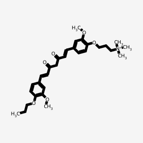 CCCOc1ccc(/C=C/C(=O)CC(=O)/C=C/c2ccc(OCCC[N+](C)(C)C)c(OC)c2)cc1OC